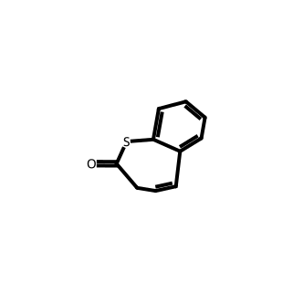 O=C1CC=Cc2ccccc2S1